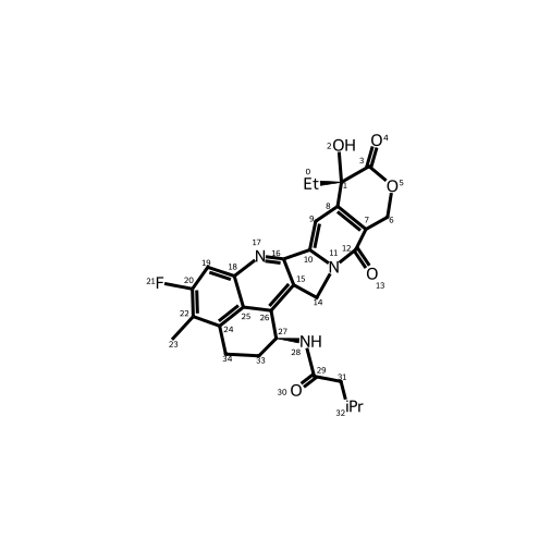 CC[C@@]1(O)C(=O)OCc2c1cc1n(c2=O)Cc2c-1nc1cc(F)c(C)c3c1c2[C@@H](NC(=O)CC(C)C)CC3